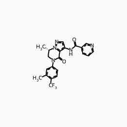 Cc1cc(N2C[C@H](C)n3ncc(NC(=O)c4cccnc4)c3C2=O)ccc1C(F)(F)F